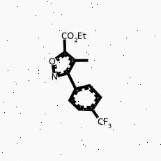 CCOC(=O)c1onc(-c2ccc(C(F)(F)F)cc2)c1C